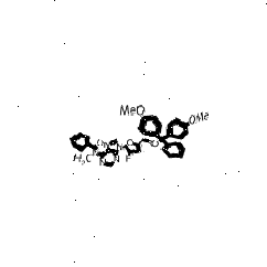 COc1ccc(C(OC[C@H]2[CH][C@@H](F)[C@H](n3cnc4c(N(C)C(=O)c5ccccc5)ncnc43)O2)(c2ccccc2)c2ccc(OC)cc2)cc1